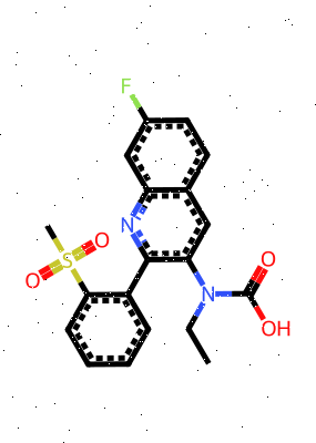 CCN(C(=O)O)c1cc2ccc(F)cc2nc1-c1ccccc1S(C)(=O)=O